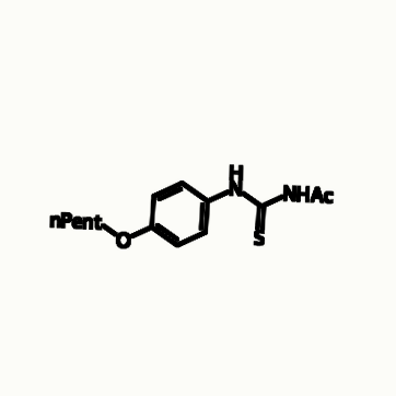 CCCCCOc1ccc(NC(=S)NC(C)=O)cc1